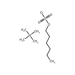 CCCCCCOS(=O)(=O)[O-].C[N+](C)(C)C